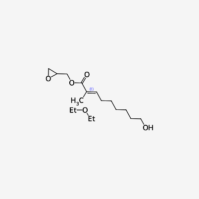 C/C(=C\CCCCCCO)C(=O)OCC1CO1.CCOCC